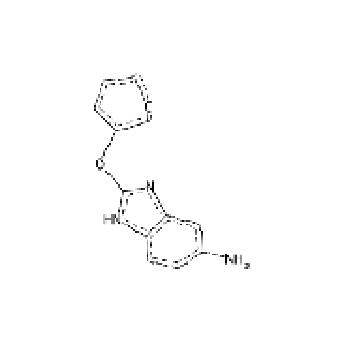 Nc1ccc2[nH]c(Oc3ccccc3)nc2c1